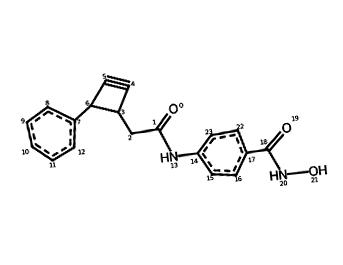 O=C(CC1C#CC1c1ccccc1)Nc1ccc(C(=O)NO)cc1